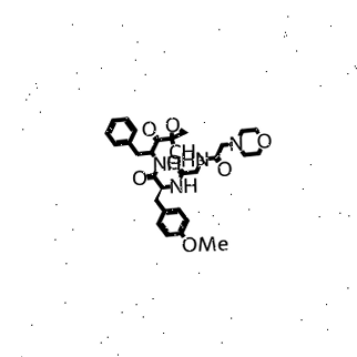 COc1ccc(C[C@H](NC(=O)CNC(=O)CN2CCOCC2)C(=O)NC(Cc2ccccc2)C(=O)C2(C)CO2)cc1